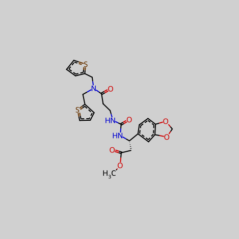 COC(=O)C[C@H](NC(=O)NCCC(=O)N(Cc1cccs1)Cc1cccs1)c1ccc2c(c1)OCO2